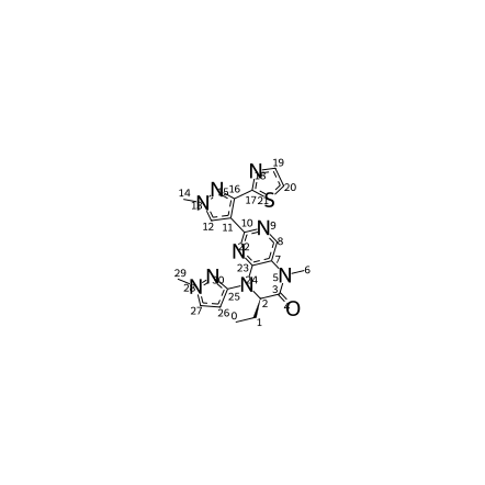 CC[C@@H]1C(=O)N(C)c2cnc(-c3cn(C)nc3-c3nccs3)nc2N1c1ccn(C)n1